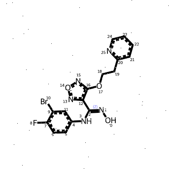 O/N=C(\Nc1ccc(F)c(Br)c1)c1nonc1OCCc1ccccn1